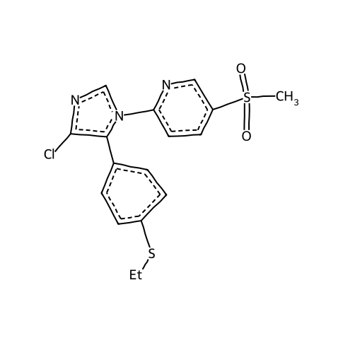 CCSc1ccc(-c2c(Cl)ncn2-c2ccc(S(C)(=O)=O)cn2)cc1